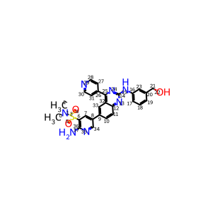 CN(C)S(=O)(=O)c1cc(-c2ccc3nc(Nc4cccc(CO)c4)nc(-c4ccncc4)c3c2)cnc1N